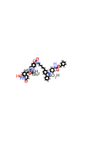 CC(C)(C)[Si](C)(C)O[C@@H](CNCc1ccc2c(c1)oc(=O)n2CCCC=Cc1ccc(-c2ccccc2)c(N(C(=O)O)[C@H]2CC[C@H](NC(=O)OCc3ccccc3)CC2)c1)c1ccc(O)c2[nH]c(=O)ccc12